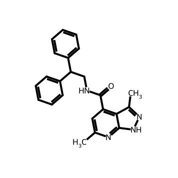 Cc1cc(C(=O)NCC(c2ccccc2)c2ccccc2)c2c(C)n[nH]c2n1